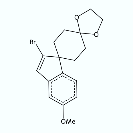 COc1ccc2c(c1)C=C(Br)C21CCC2(CC1)OCCO2